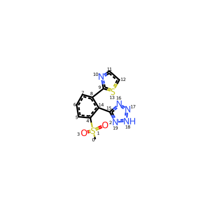 CS(=O)(=O)c1cccc(-c2nccs2)c1-c1nn[nH]n1